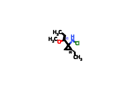 C/C=C(\OC)C1(NCl)C[C@H]1CC